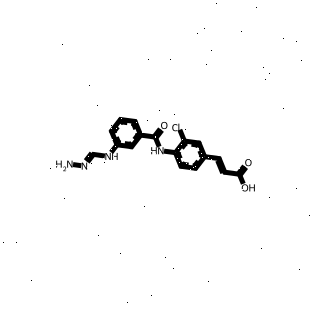 NN=CNc1cccc(C(=O)Nc2ccc(C=CC(=O)O)cc2Cl)c1